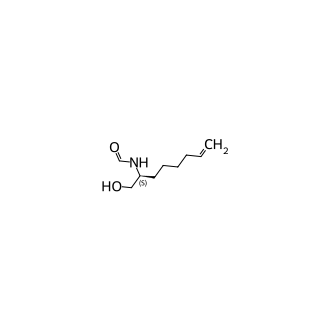 C=CCCCC[C@@H](CO)NC=O